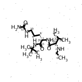 CCN[C@H](C(=O)N[C@@H](CCCNC(N)=O)C(=O)NC(C)(C)C)C(C)C